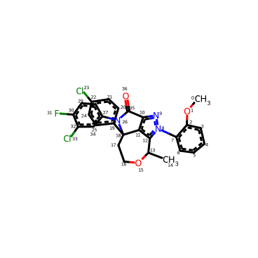 COc1ccccc1-n1nc2c3c1C(C)OCCC3(c1ccc(Cl)cc1)N(c1ccc(F)c(Cl)c1)C2=O